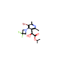 Cc1nc(C)c(C(O)C(=O)OC(C)C)c(N2CC(F)(F)C2)c1Br